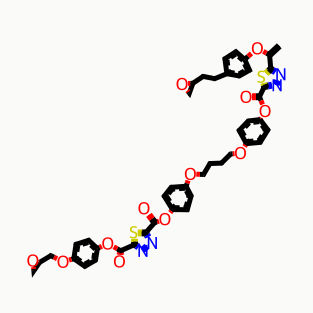 C=C(Oc1ccc(CCC2CO2)cc1)c1nnc(C(=O)Oc2ccc(OCCCCOc3ccc(OC(=O)c4nnc(C(=O)Oc5ccc(OCC6CO6)cc5)s4)cc3)cc2)s1